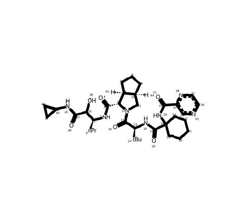 CCC[C@H](NC(=O)[C@@H]1[C@H]2CCC[C@H]2CN1C(=O)[C@@H](NC(=O)C1(NC(=O)c2cnccn2)CCCCC1)C(C)(C)C)C(O)C(=O)NC1CC1